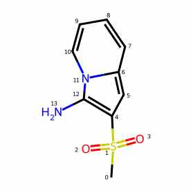 CS(=O)(=O)c1cc2ccccn2c1N